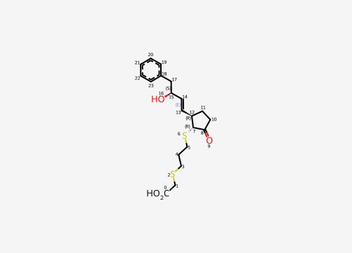 O=C(O)CSCCCS[C@H]1C(=O)CC[C@@H]1/C=C/[C@@H](O)Cc1ccccc1